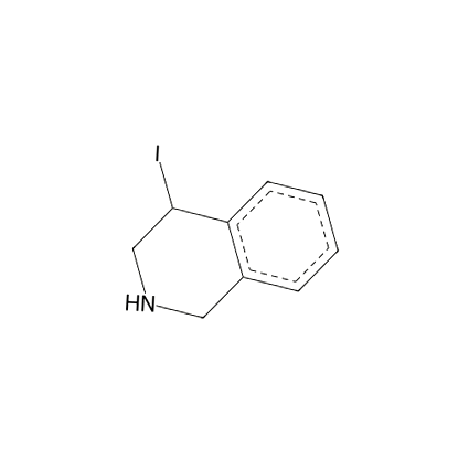 IC1CNCc2ccccc21